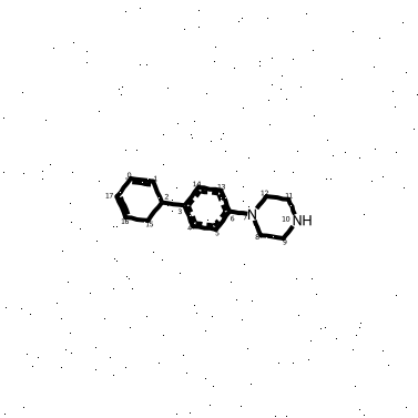 [C]1=CC(c2ccc(N3CCNCC3)cc2)CC=C1